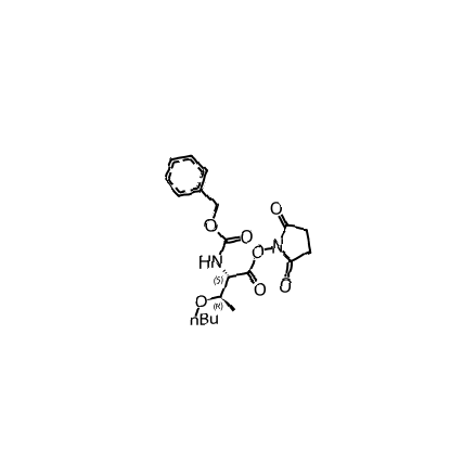 CCCCO[C@H](C)[C@H](NC(=O)OCc1ccccc1)C(=O)ON1C(=O)CCC1=O